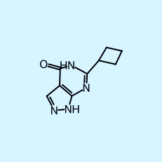 O=c1[nH]c(C2CCC2)nc2[nH]ncc12